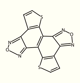 c1cc2c3nonc3c3c4sccc4c4nonc4c3c2s1